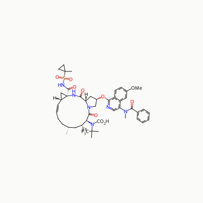 CC[C@@H]1C[C@H](C)CC/C=C\[C@@H]2C[C@@]2(C(=O)NS(=O)(=O)C2(C)CC2)NC(=O)[C@@H]2C[C@@H](Oc3ncc(N(C)C(=O)c4ccccc4)c4cc(OC)ccc34)CN2C(=O)[C@H]1N(C(=O)O)C(C)(C)C(F)(F)F